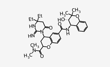 CCC1(CC)CC(=O)N(C2CC(C(=O)N(C)C)Oc3ccc(C(=O)N[C@@H]4c5ccccc5OC(C)(C)[C@H]4O)cc32)C(=N)N1